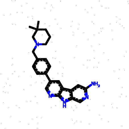 CC1(C)CCCN(Cc2ccc(-c3cnc4[nH]c5cnc(N)cc5c4c3)cc2)C1